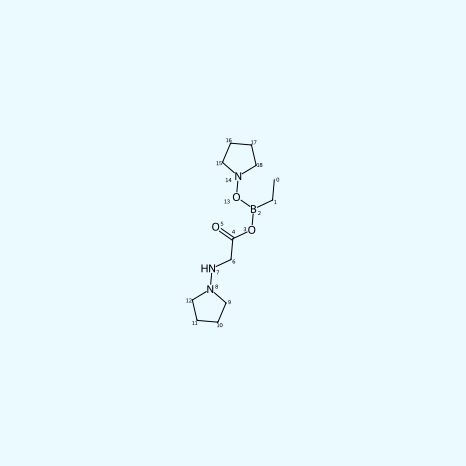 CCB(OC(=O)CNN1CCCC1)ON1CCCC1